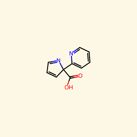 O=C(O)C1(c2ccccn2)C=CC=N1